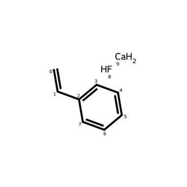 C=Cc1ccccc1.F.[CaH2]